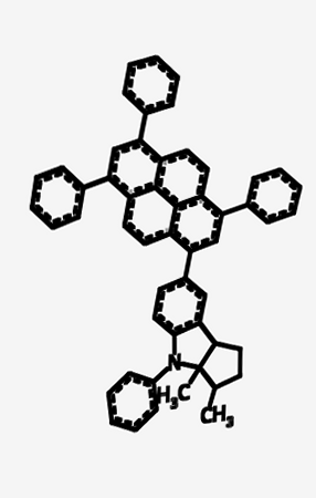 CC1CCC2c3cc(-c4cc(-c5ccccc5)c5ccc6c(-c7ccccc7)cc(-c7ccccc7)c7ccc4c5c67)ccc3N(c3ccccc3)C12C